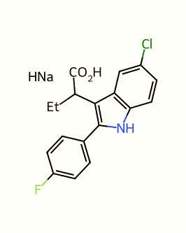 CCC(C(=O)O)c1c(-c2ccc(F)cc2)[nH]c2ccc(Cl)cc12.[NaH]